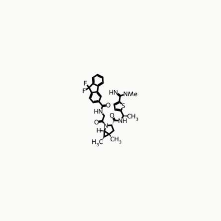 CNC(=N)c1ccc([C@@H](C)NC(=O)[C@@H]2C[C@]3(C)[C@H](C)[C@@H]3N2C(=O)CNC(=O)c2ccc3c(c2)-c2ccccc2C3(F)F)s1